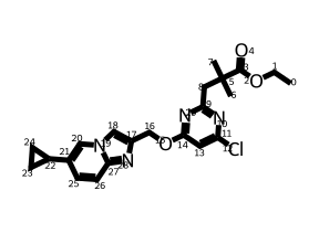 CCOC(=O)C(C)(C)Cc1nc(Cl)cc(OCc2cn3cc(C4CC4)ccc3n2)n1